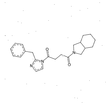 O=C(CCC(=O)n1ccnc1Cc1ccccc1)N1CC2CCCCC2C1